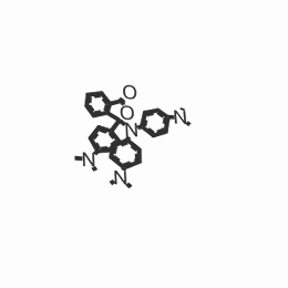 CN(C)c1ccc(N(c2ccc(N(C)C)cc2)C2(c3ccc(N(C)C)cc3)OC(=O)c3ccccc32)cc1